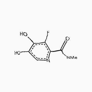 CNC(=O)c1ncc(O)c(O)c1F